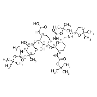 CN(C(=O)OC(C)(C)C)[C@@H]1[C@@H](O)[C@@H](O[C@@H]2[C@@H](O)[C@H](O[C@H]3O[C@H](CNC[C@@H]4COC(C)(C)O4)CC[C@H]3NC(=O)OC(C)(C)C)[C@@H](NC(=O)OC(C)(C)C)C[C@H]2NC(=O)O)OC[C@]1(C)O